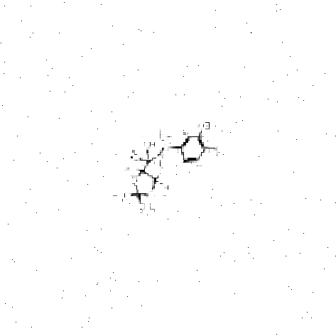 CC1(C)O[C@H]2O[C@H]([C@H](O)c3ccc(Cl)c(Cl)c3)[C@@](C)(O)[C@H]2O1